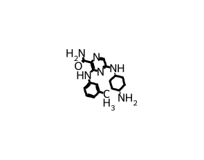 Cc1cccc(Nc2nc(N[C@H]3CC[C@@H](N)CC3)cnc2C(N)=O)c1